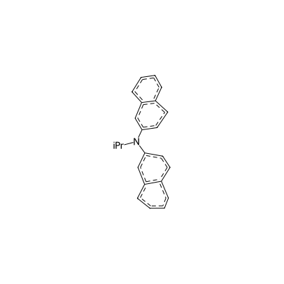 CC(C)N(c1ccc2ccccc2c1)c1ccc2ccccc2c1